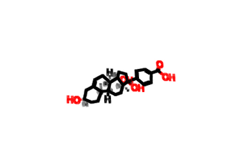 C[C@]12CC[C@H]3[C@@H](CC=C4C[C@@H](O)CC[C@@]43C)[C@@]1(O)CC[C@]2(O)c1ccc(C(=O)O)cc1